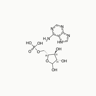 Nc1ncnc2nc[nH]c12.O=P(O)(O)OC[C@H]1OC(O)[C@@H](O)[C@@H]1O